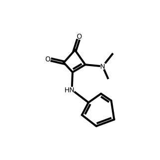 CN(C)c1c(Nc2ccccc2)c(=O)c1=O